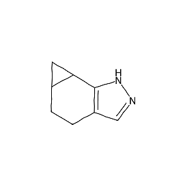 c1n[nH]c2c1CCC1CC21